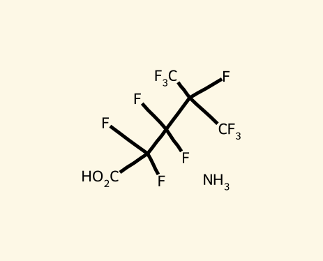 N.O=C(O)C(F)(F)C(F)(F)C(F)(C(F)(F)F)C(F)(F)F